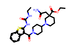 CCNC(=O)Nc1sc2ccccc2c1C(=O)N1CCC(N2CCCC(CC(N)=O)(C(=O)OCC)C2)CC1